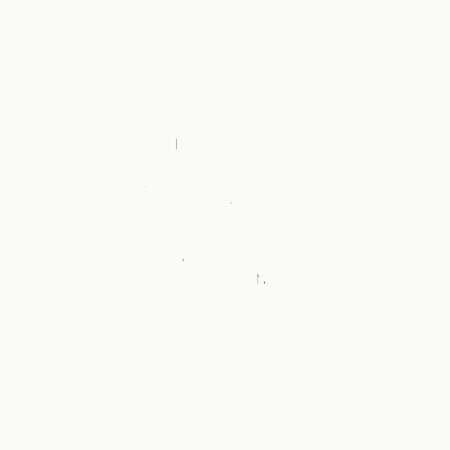 CN(C)C1CC(CO)C1